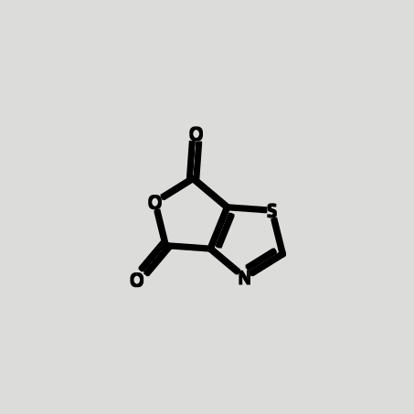 O=C1OC(=O)c2scnc21